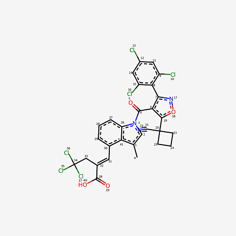 Cc1cn(C(=O)c2c(-c3c(Cl)cc(Cl)cc3Cl)noc2C2(C#N)CCC2)c2cccc(/C=C(\CC(Cl)(Cl)Cl)C(=O)O)c12